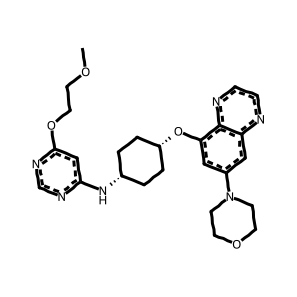 COCCOc1cc(N[C@H]2CC[C@@H](Oc3cc(N4CCOCC4)cc4nccnc34)CC2)ncn1